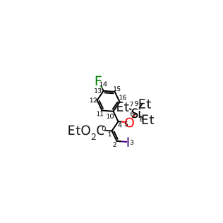 CCOC(=O)/C(=C/I)C(O[Si](CC)(CC)CC)c1ccc(F)cc1